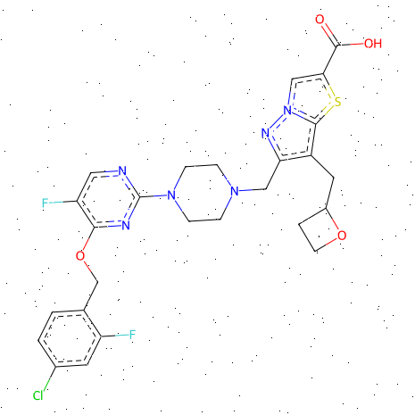 O=C(O)c1cn2nc(CN3CCN(c4ncc(F)c(OCc5ccc(Cl)cc5F)n4)CC3)c(CC3CCO3)c2s1